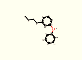 CCCCc1cccc(Oc2ccccc2)c1